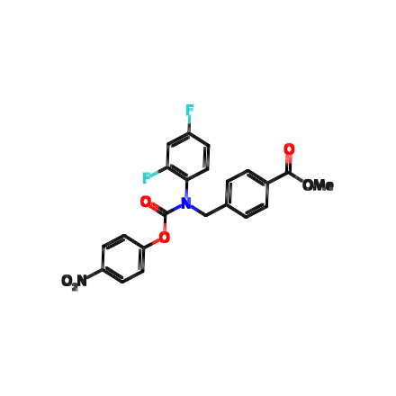 COC(=O)c1ccc(CN(C(=O)Oc2ccc([N+](=O)[O-])cc2)c2ccc(F)cc2F)cc1